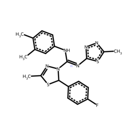 CC1=NN(/C(=N/c2nnc(C)s2)Nc2ccc(C)c(C)c2)C(c2ccc(F)cc2)S1